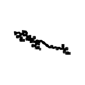 CC(C)(C)OC(=O)NCCOCCOCC#CC#CCn1cc(NC(=O)c2coc(-c3ccnc(N(CC4CC4)C(=O)OC(C)(C)C)c3)n2)c(C(N)=O)n1